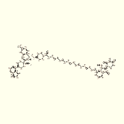 NC1(C(=O)N[C@@H](CCN2CCN(C(=O)CCOCCOCCOCCOCCOCCOc3cccc4c3C(O)N(C3CCC(=O)NC3=O)C4=O)CC2)c2ccc(Cl)cc2)CCN(c2ncnc3[nH]ccc23)CC1